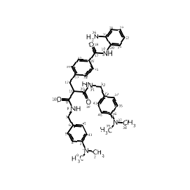 CN(C)c1ccc(CNC(=O)C(Cc2ccc(C(=O)Nc3ccccc3N)cc2)C(=O)NCc2ccc(N(C)C)cc2)cc1